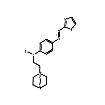 CCN(CC[N+]12CCN(CC1)CC2)c1ccc(/N=N/c2nccs2)cc1